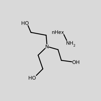 CCCCCCN.OCCN(CCO)CCO